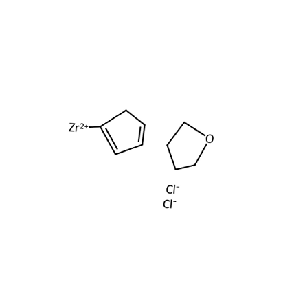 C1CCOC1.[Cl-].[Cl-].[Zr+2][C]1=CC=CC1